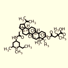 C=C(C)[C@@H]1CC[C@]2(CC(=O)NC3CC(C)N(C)C(CC)C3)CC[C@]3(C)[C@H](CC[C@@H]4[C@@]5(C)CC[C@H](OC(=O)CC(C)(C)C(=O)O)C(C)(C)[C@@H]5CC[C@]43C)[C@@H]12